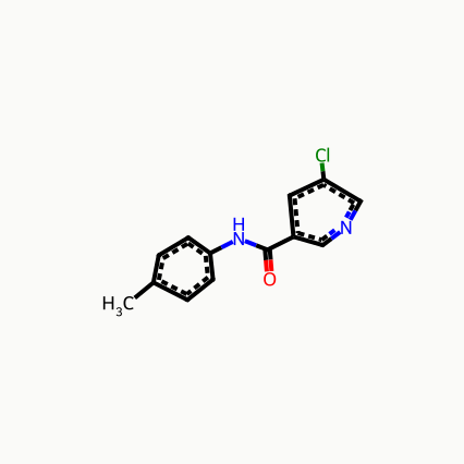 Cc1ccc(NC(=O)c2cncc(Cl)c2)cc1